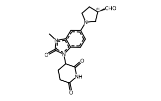 Cn1c(=O)n(C2CCC(=O)NC2=O)c2ccc(N3CC[C@@H](C=O)C3)cc21